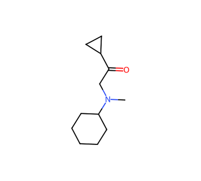 CN(CC(=O)C1CC1)C1CCCCC1